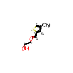 N#Cc1csc(COCCO)c1